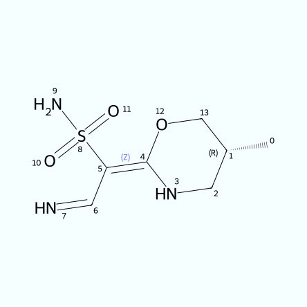 C[C@@H]1CN/C(=C(\C=N)S(N)(=O)=O)OC1